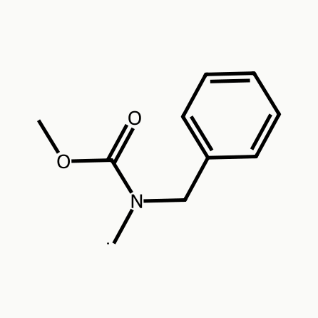 [CH2]N(Cc1ccccc1)C(=O)OC